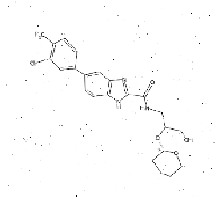 O=C(NCC(CO)O[C@H]1CCCCO1)c1nc2cc(-c3ccc(C(F)(F)F)c(Cl)c3)ccc2[nH]1